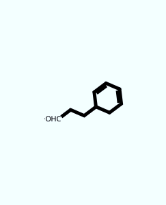 O=[C]CCC1C=CC=CC1